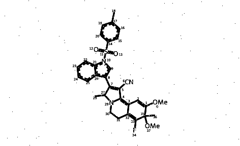 COC1=CC2=C3C(C#N)=C(c4cn(S(=O)(=O)c5ccc(C)cc5)c5ccccc45)C(C)N3CCC2=C(F)C1(C)OC